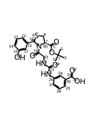 CC(C)(C)OC(=O)[C@@H]1CS[C@H](c2cccc(O)c2)N1C(=O)CNC(=O)Nc1cccc(C(=O)O)c1